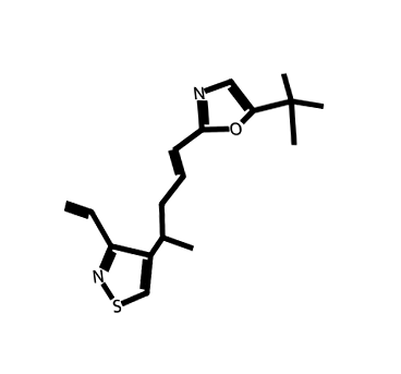 C=Cc1nscc1C(C)C/C=C/c1ncc(C(C)(C)C)o1